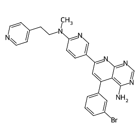 CN(CCc1ccncc1)c1ccc(-c2cc(-c3cccc(Br)c3)c3c(N)ncnc3n2)cn1